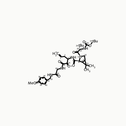 C=CCC(NC(=O)[C@@H]1C2C(CN1C(=O)[C@@H](NC(=O)OC(C)(C)C)C(C)(C)C)C2(C)C)C(=O)C(=O)NCC(=O)NCc1ccc(OC)cc1